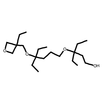 CCC1(COC(CC)(CC)CCCOC(CC)(CC)CCO)COC1